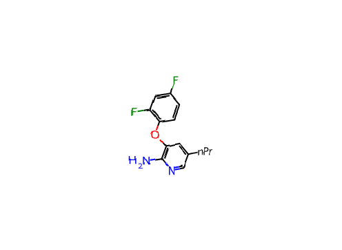 CCCc1cnc(N)c(Oc2ccc(F)cc2F)c1